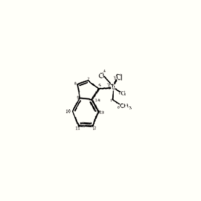 C[CH2][Ti]([Cl])([Cl])([Cl])[CH]1C=Cc2ccccc21